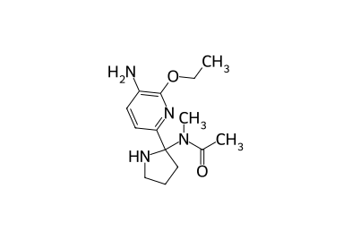 CCOc1nc(C2(N(C)C(C)=O)CCCN2)ccc1N